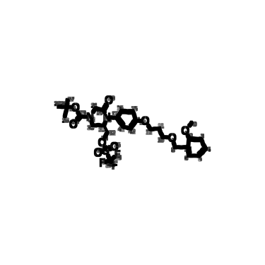 COc1ccccc1COCCCOc1ccc(N2C(=O)CN(C(=O)OC(C)(C)C)C[C@@H]2COS(=O)(=O)C(F)(F)F)cc1